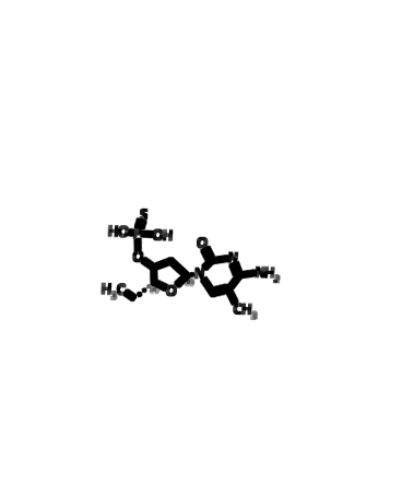 CC[C@H]1O[C@@H](n2cc(C)c(N)nc2=O)CC1OP(O)(O)=S